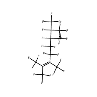 FC(F)(F)C(=C(C(F)(F)F)C(F)(F)C(F)(F)C(F)(C(F)(F)F)C(F)(C(F)(F)F)C(F)(F)F)C(F)(F)F